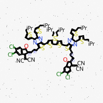 CC(C)CCS1(CCC(C)C)c2cc(-c3sc(/C=C/C=C4\C(=O)c5cc(Cl)c(Cl)cc5C4=C(C#N)C#N)c4nc(-c5ccc(CC(C)C)s5)c(-c5ccc(CC(C)C)s5)nc34)sc2-c2sc(-c3sc(/C=C/C=C4\C(=O)c5cc(Cl)c(Cl)cc5C4=C(C#N)C#N)c4nc(-c5ccc(CC(C)C)s5)c(-c5ccc(CC(C)C)s5)nc34)cc21